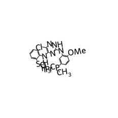 COc1ccc(P(C)C)cc1Nc1nnc(Cl)c(Nc2ccccc2SOC(C)C)n1